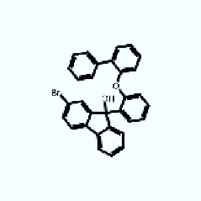 OC1(c2ccccc2Oc2ccccc2-c2ccccc2)c2ccccc2-c2ccc(Br)cc21